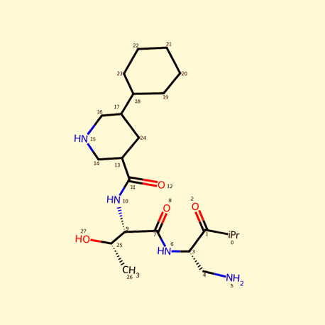 CC(C)C(=O)[C@H](CN)NC(=O)[C@@H](NC(=O)C1CNCC(C2CCCCC2)C1)[C@H](C)O